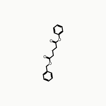 O=C(C[CH]CC(=O)Oc1ccccc1)OCc1ccccc1